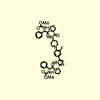 COC(=O)N[C@@H](C(=O)N1CCC[C@H]1C(=O)NC1CCN(c2ccc(-c3cnc([C@@H]4CCCN4C(=O)[C@H](NC(=O)OC)c4ccccc4)[nH]3)cc2F)CC1)c1ccccc1